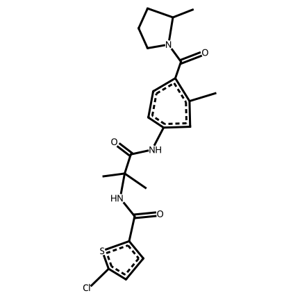 Cc1cc(NC(=O)C(C)(C)NC(=O)c2ccc(Cl)s2)ccc1C(=O)N1CCCC1C